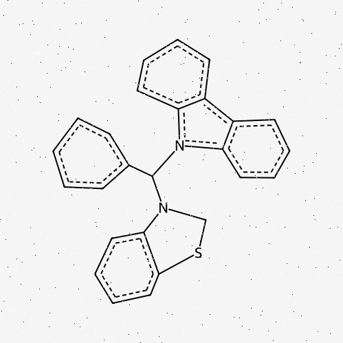 c1ccc(C(N2CSc3ccccc32)n2c3ccccc3c3ccccc32)cc1